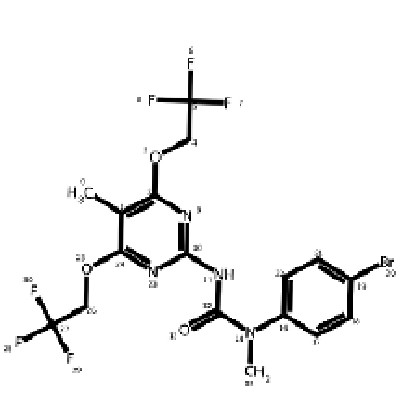 Cc1c(OCC(F)(F)F)nc(NC(=O)N(C)c2ccc(Br)cc2)nc1OCC(F)(F)F